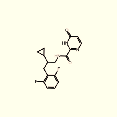 O=C(NCC(Cc1c(F)cccc1F)C1CC1)c1nccc(=O)[nH]1